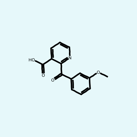 COc1cccc(C(=O)c2ncccc2C(=O)O)c1